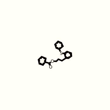 O=C(OCCCc1ccccc1Sc1ccccc1)c1ccccc1